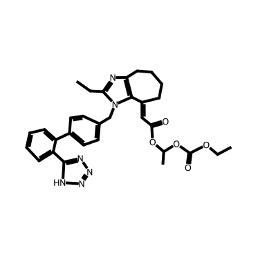 CCOC(=O)OC(C)OC(=O)C=C1CCCCc2nc(CC)n(Cc3ccc(-c4ccccc4-c4nnn[nH]4)cc3)c21